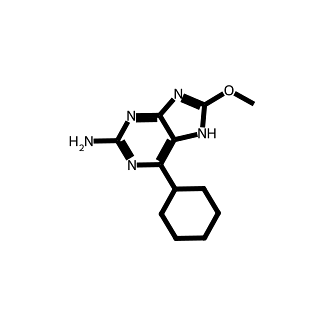 COc1nc2nc(N)nc(C3CCCCC3)c2[nH]1